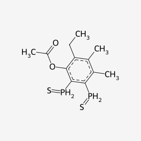 CCc1c(C)c(C)c([PH2]=S)c([PH2]=S)c1OC(C)=O